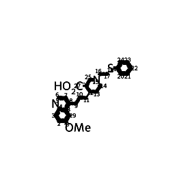 COc1ccc2nccc(CCC[C@@H]3CCN(CCSc4ccccc4)C[C@@H]3C(=O)O)c2c1